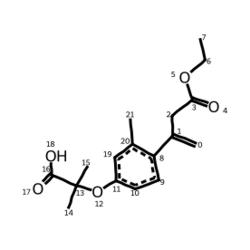 C=C(CC(=O)OCC)c1ccc(OC(C)(C)C(=O)O)cc1C